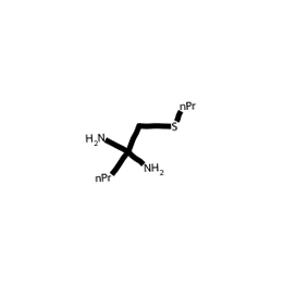 CCCSCC(N)(N)CCC